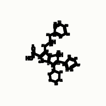 O=C(O)c1sc2c(C3CCCCC3)c(-c3ccccc3)[nH]c2c1CNCc1ccccn1